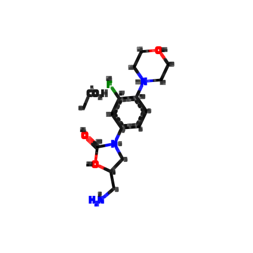 CC(=O)O.NCC1CN(c2ccc(N3CCOCC3)c(F)c2)C(=O)O1